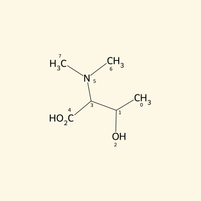 CC(O)C(C(=O)O)N(C)C